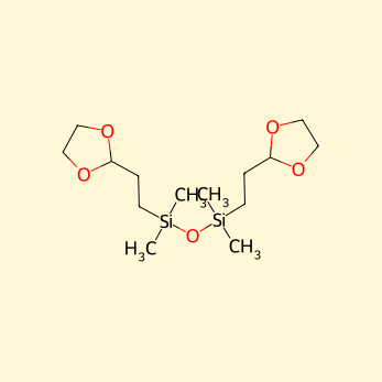 C[Si](C)(CCC1OCCO1)O[Si](C)(C)CCC1OCCO1